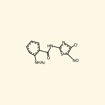 CC(=O)Nc1ccccc1C(=O)Nc1nc(Cl)c(N=O)s1